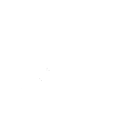 COc1cc2cc(C)cc(-c3cc4ccccc4s3)c2nn1